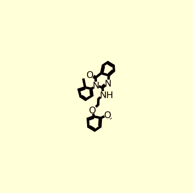 COc1ccccc1OCCNc1nc2ccccc2c(=O)n1-c1ccccc1C